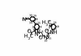 CC(=O)c1nn(CC(=O)N2CCC2C(=O)Nc2cccc(C)n2)c2ccc(-c3cccc(C#N)c3)cc12